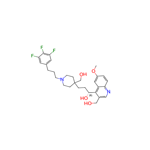 COc1ccc2ncc(CO)c([C@H](O)CCC3(CO)CCN(CCCc4cc(F)c(F)c(F)c4)CC3)c2c1